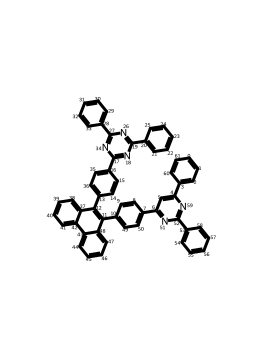 c1ccc(-c2cc(-c3ccc(-c4c(-c5ccc(-c6nc(-c7ccccc7)nc(-c7ccccc7)n6)cc5)c5ccccc5c5ccccc45)cc3)nc(-c3ccccc3)n2)cc1